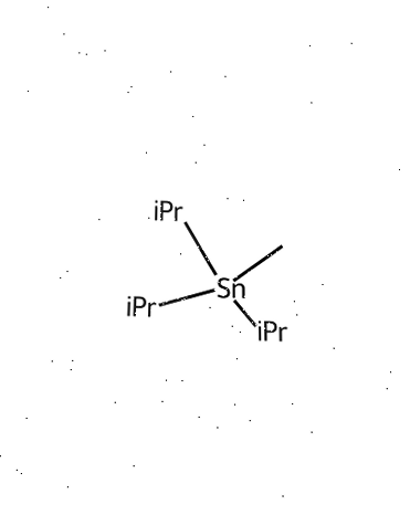 C[CH](C)[Sn]([CH3])([CH](C)C)[CH](C)C